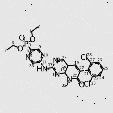 CCOP(=O)(OCC)c1ccc(NC2=NC3C(C=N2)C=C(c2c(Cl)cccc2Cl)C(=O)N3C)cn1